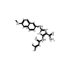 COc1ccc2cc(Nc3nc(C(N)=O)c(NC(=O)C=C(C)C)s3)ccc2c1